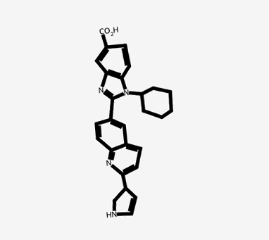 O=C(O)c1ccc2c(c1)nc(-c1ccc3nc(C4C=CNC4)ccc3c1)n2C1CCCCC1